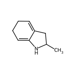 CC1CC2=CCCC=C2N1